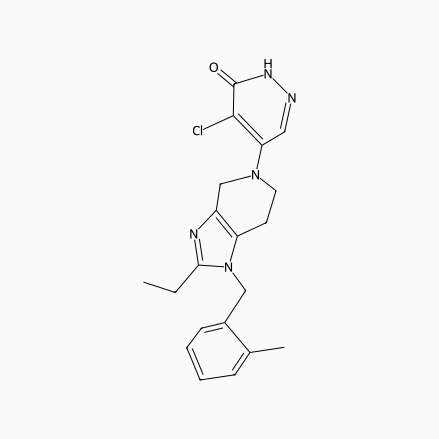 CCc1nc2c(n1Cc1ccccc1C)CCN(c1cn[nH]c(=O)c1Cl)C2